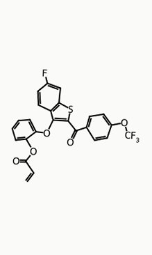 C=CC(=O)Oc1ccccc1Oc1c(C(=O)c2ccc(OC(F)(F)F)cc2)sc2cc(F)ccc12